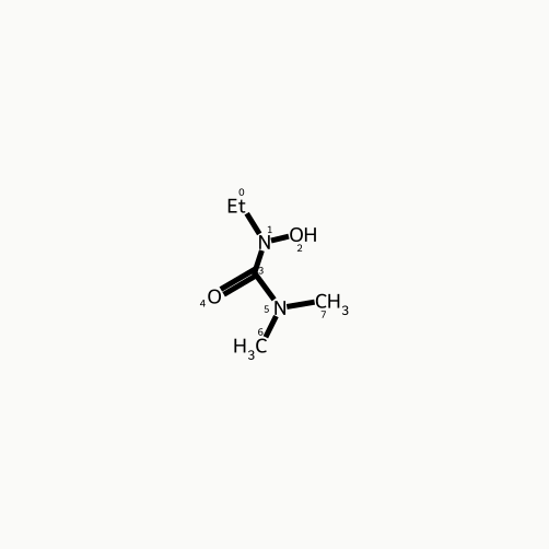 CCN(O)C(=O)N(C)C